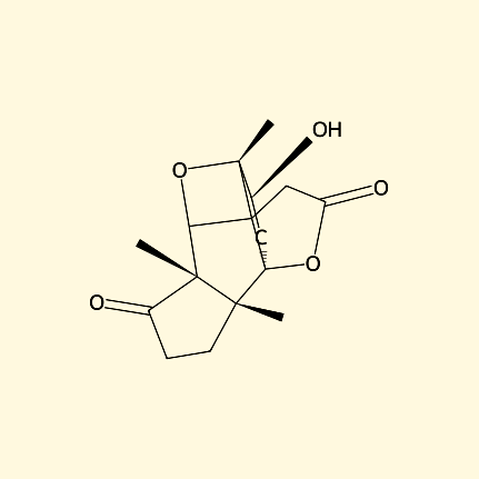 C[C@@]12CCC(=O)[C@]1(C)C1O[C@]3(C)[C@@H](O)C[C@]24OC(=O)CC134